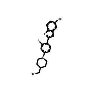 OCC1CCN(c2ccc(-c3cc4cc(O)ccc4o3)c(F)n2)CC1